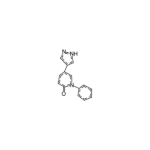 O=c1ccc(-c2cn[nH]c2)cn1-c1ccccc1